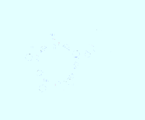 Cc1sc2nc1C(=O)N[C@@H]([C@H](O)c1ccccc1)c1nc(cs1)C(=O)N[C@@H](Cc1ccc(O)cc1)C(=O)N1C[C@H](O)[C@H](C)[C@H]1c1nc(cs1)-c1nc(cs1)-c1nc(-c3nc(N(CCCCC(=O)O)C(=O)O[C@H]4CC[C@H](C(=O)O)CC4)cs3)ccc1-c1nc(cs1)C(=O)N[C@H]2CC(N)=O